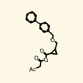 CC(=O)CC(=O)OC(=O)C1CC1COCc1ccc(-c2ccccc2)cc1